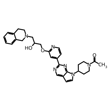 CC(=O)N1CCC(n2ccc3cnc(-c4ccnc(OCC(O)CN5CCc6ccccc6C5)c4)nc32)CC1